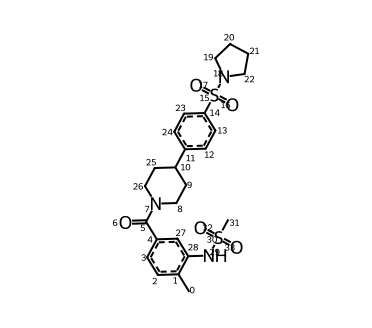 Cc1ccc(C(=O)N2CCC(c3ccc(S(=O)(=O)N4CCCC4)cc3)CC2)cc1NS(C)(=O)=O